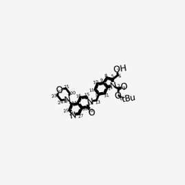 CC(C)(C)OC(=O)n1c(CO)cc2ccc(Cn3ccc4c(N5CCOCC5)cncc4c3=O)cc21